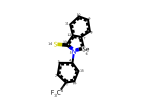 FC(F)(F)c1ccc(-n2[se]c3ccccc3c2=S)cc1